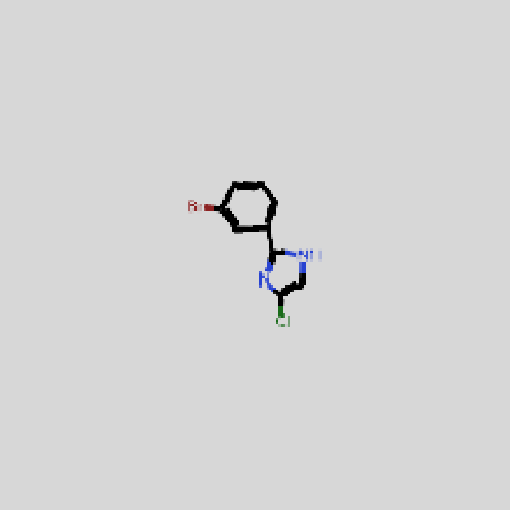 Clc1c[nH]c(-c2cccc(Br)c2)n1